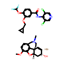 Br.COc1ccc2c3c1O[C@H]1C[C@@H](O)C=C[C@@]31CCN(C)C2.O=C(Nc1c(Cl)cncc1Cl)c1ccc(OC(F)F)c(OCC2CC2)c1